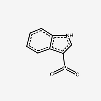 O=P(=O)c1c[nH]c2ccccc12